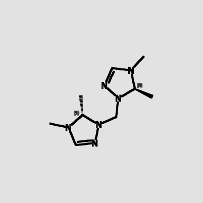 C[C@@H]1N(C)C=NN1CN1N=CN(C)[C@@H]1C